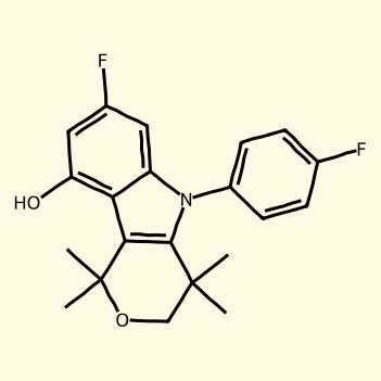 CC1(C)COC(C)(C)c2c1n(-c1ccc(F)cc1)c1cc(F)cc(O)c21